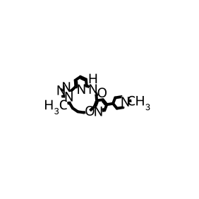 CC1CCCOc2ncc(C3CCN(C)CC3)cc2C(=O)Nc2cccc(n2)-c2nncn21